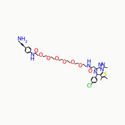 Cc1sc2c(c1C)C(c1ccc(Cl)cc1)=N[C@@H](CC(=O)NCCOCCOCCOCCOCCOCCOCC(=O)Nc1ccc(C#CCN)cc1)c1nnc(C)n1-2